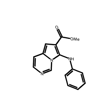 COC(=O)c1cc2ccncn2c1Nc1ccccc1